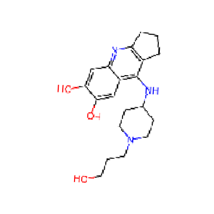 OCCCN1CCC(Nc2c3c(nc4cc(O)c(O)cc24)CCC3)CC1